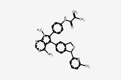 C=C(C)C(=O)Nc1ccc(-c2c(-c3ccc4c(c3)COC4c3cccc(C)n3)c3c(N)ncnc3n2C)cc1